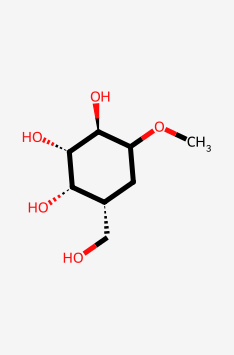 COC1C[C@H](CO)[C@H](O)[C@H](O)[C@H]1O